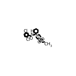 CCCS(=O)(=O)N1CCN(C2(CNC(=O)c3cc(Cl)ccc3Cl)CCCCC2)CC1